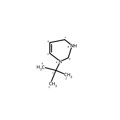 CC(C)(C)N1C=CCNC1